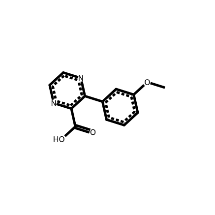 COc1cccc(-c2nccnc2C(=O)O)c1